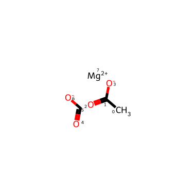 CC(=O)[O-].O=C[O-].[Mg+2]